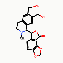 CN1CCc2cc(CO)c(CO)cc2[C@H]1[C@H]1OC(=O)c2c1ccc1c2OCO1